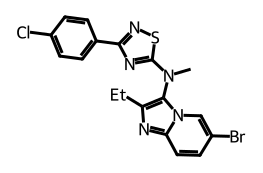 CCc1nc2ccc(Br)cn2c1N(C)c1nc(-c2ccc(Cl)cc2)ns1